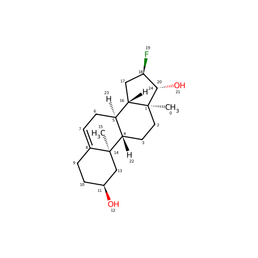 C[C@]12CC[C@H]3[C@@H](CC=C4CC[C@H](O)C[C@@]43C)[C@@H]1C[C@@H](F)[C@@H]2O